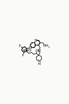 COc1ccc2ncc(CN)c(CCCC3(C(O)CCCc4c(F)cc(F)cc4F)CCNCC3)c2c1